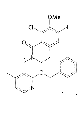 COc1c(I)cc2c(c1Cl)C(=O)N(Cc1c(C)cc(C)nc1OCc1ccccc1)CC2